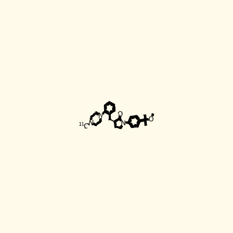 COC(C)(C)c1ccc(N2CC[C@@H](Cc3ccccc3N3CCN([11CH3])CC3)C2=O)cc1